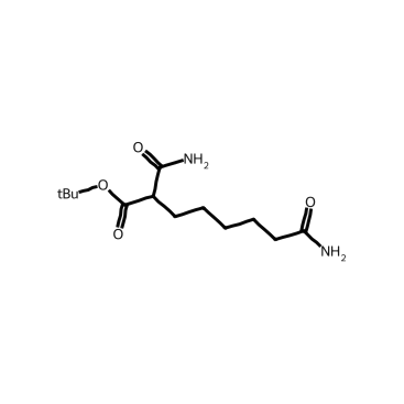 CC(C)(C)OC(=O)C(CCCCCC(N)=O)C(N)=O